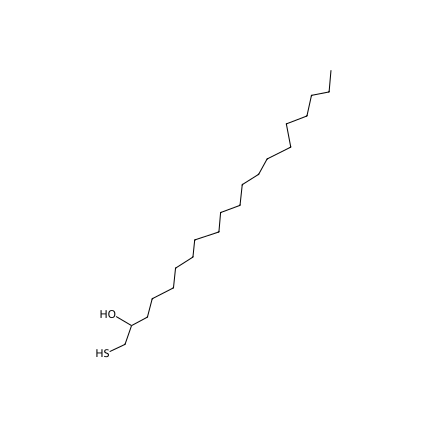 CCCCCCCCCCCCCCCCCCC(O)CS